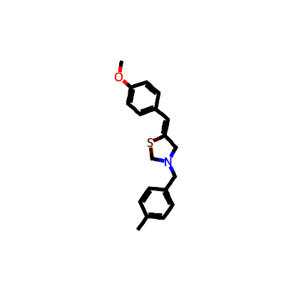 COc1ccc(C=C2CN(Cc3ccc(C)cc3)CS2)cc1